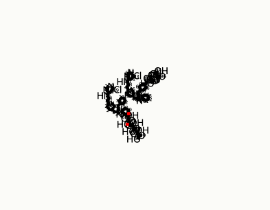 Fc1ccc(Cn2c(CC3CCN(CCNc4cc(Cl)ncn4)CC3)nc3ccccc32)cc1.Fc1ccc(Cn2c(CC3CCN(CCNc4cc(Cl)ncn4)CC3)nc3ccccc32)cc1.O=C(O)C(=O)O.O=C(O)C(=O)O.O=C(O)C(=O)O.O=C(O)C(=O)O.O=C(O)C(=O)O